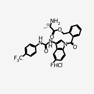 C[C@H](N)C(=O)OCc1ccccc1C(=O)n1cc(NC(=O)Nc2ccc(C(F)(F)F)cc2)c2cc(F)ccc21.Cl